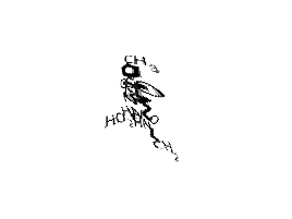 C=CCCNC(=O)C(Cc1cn(S(=O)(=O)c2ccc(C)cc2)cn1)NC(=O)O